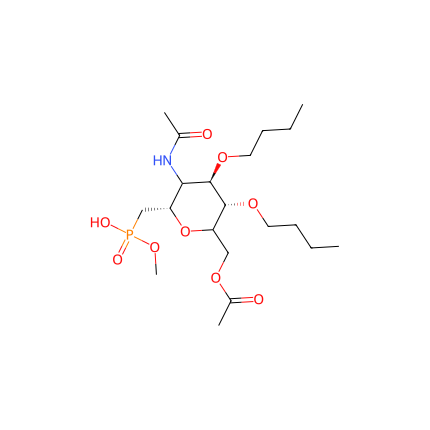 CCCCO[C@@H]1C(COC(C)=O)O[C@H](CP(=O)(O)OC)C(NC(C)=O)[C@H]1OCCCC